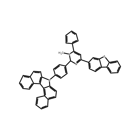 CN1C(c2ccccc2)=CC(c2ccc3c(c2)sc2ccccc23)=NC1c1ccc(-n2c3ccc4ccccc4c3c3c4ccccc4ccc32)cc1